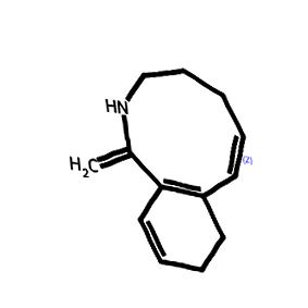 C=C1NCCC/C=C\C2=C1C=CCC2